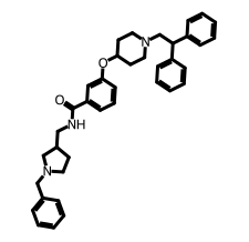 O=C(NCC1CCN(Cc2ccccc2)C1)c1cccc(OC2CCN(CC(c3ccccc3)c3ccccc3)CC2)c1